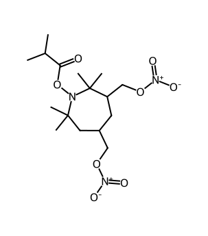 CC(C)C(=O)ON1C(C)(C)CC(CO[N+](=O)[O-])CC(CO[N+](=O)[O-])C1(C)C